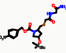 CC(C)(C)[Si](C)(C)OC1CC(CSCC(=O)NCC(N)=O)N(C(=O)OCc2ccc([N+](=O)[O-])cc2)C1